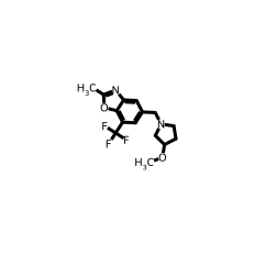 COC1CCN(Cc2cc(C(F)(F)F)c3oc(C)nc3c2)C1